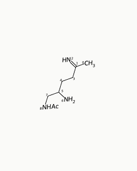 CC(=N)CCC(N)CNC(C)=O